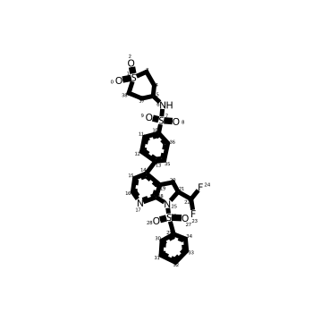 O=S1(=O)CCC(NS(=O)(=O)c2ccc(-c3ccnc4c3CC(C(F)F)N4S(=O)(=O)c3ccccc3)cc2)CC1